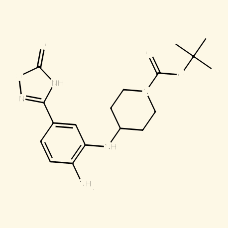 CC(C)(C)OC(=O)N1CCC(Nc2cc(-c3noc(=O)[nH]3)ccc2N)CC1